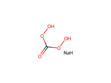 O=C(OO)OO.[NaH]